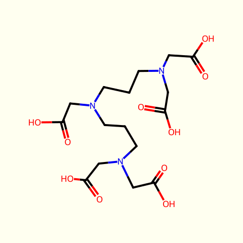 O=C(O)CN(CCCN(CC(=O)O)CC(=O)O)CCCN(CC(=O)O)CC(=O)O